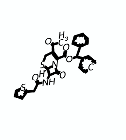 CC(=O)C1=C(C(=O)OC(c2ccccc2)c2ccccc2)N2C(=O)C(NC(=O)Cc3cccs3)[C@H]2SC1